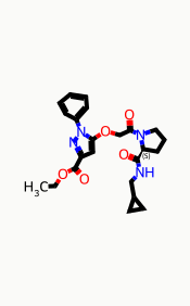 CCOC(=O)c1cc(OCC(=O)N2CCC[C@H]2C(=O)NCC2CC2)n(-c2ccccc2)n1